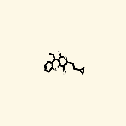 CCC(C1=C(O)C(=O)C(CCC2CC2)OC1=O)c1ccccc1